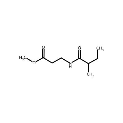 CCC(C)C(=O)NCCC(=O)OC